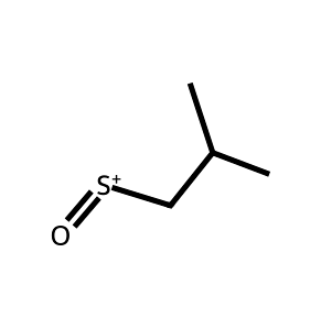 CC(C)C[S+]=O